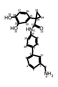 NCc1cccc(-c2ccc(NC(=O)C3(c4ccc(O)c(O)c4)CC3)cc2)c1